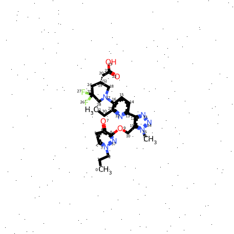 CCCn1ccc(=O)c(OCc2c(-c3ccc(N4C[C@@H](CC(=O)O)CC(F)(F)C4)c(CC)n3)nnn2C)n1